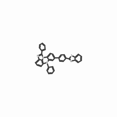 c1ccc(-c2nc3cccc4c3n2-c2ccc(-c3ccc(-c5nc6ccccc6s5)cc3)cc2N4c2ccccc2)cc1